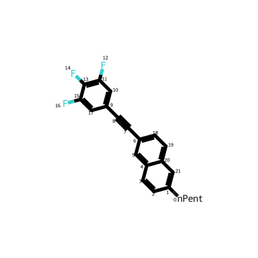 CCCCCc1ccc2cc(C#Cc3cc(F)c(F)c(F)c3)ccc2c1